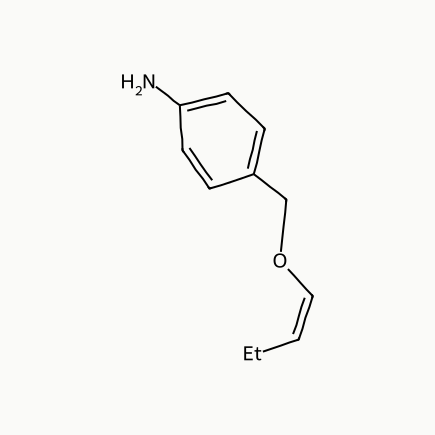 CC/C=C\OCc1ccc(N)cc1